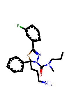 CCCN(C)C(=O)N1N=C(c2cccc(F)c2)SC1(CCCN)c1ccccc1